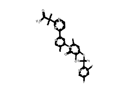 [2H]C([2H])(Oc1cc(C)n(-c2cc(-c3ccnc(C(C)(C)C(N)=O)n3)ncc2C)c(=O)c1Cl)c1ncc(F)cc1F